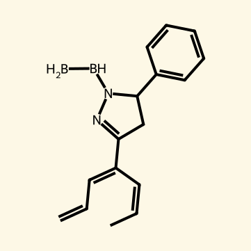 BBN1N=C(C(/C=C\C)=C/C=C)CC1c1ccccc1